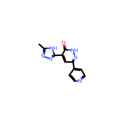 Cc1nnc(-c2cc(-c3ccncc3)n[nH]c2=O)[nH]1